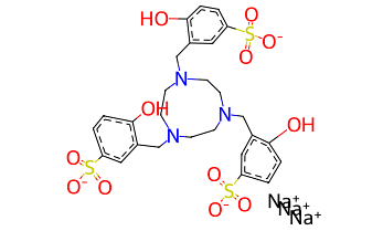 O=S(=O)([O-])c1ccc(O)c(CN2CCN(Cc3cc(S(=O)(=O)[O-])ccc3O)CCN(Cc3cc(S(=O)(=O)[O-])ccc3O)CC2)c1.[Na+].[Na+].[Na+]